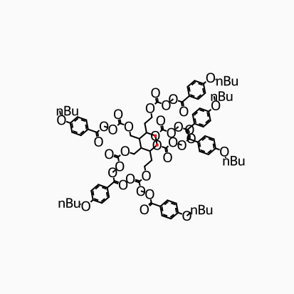 CCCCOc1ccc(C(=O)OOC(=O)OCCC(COC(=O)OOC(=O)c2ccc(OCCCC)cc2)C(COC(=O)OOC(=O)c2ccc(OCCCC)cc2)C(COC(=O)OOC(=O)c2ccc(OCCCC)cc2)C(CCOC(=O)OOC(=O)c2ccc(OCCCC)cc2)COC(=O)OOC(=O)c2ccc(OCCCC)cc2)cc1